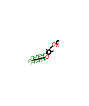 C=CC(=O)OCCc1c(C)cc(OC(F)(F)C(F)(F)C(F)(F)C(F)(F)C(F)(F)C(F)(F)F)cc1C